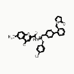 Cc1ccc2oc(C(=O)N[C@@H](C=C3CCC(c4ccccc4CN4CCCC4=O)CC3)Cc3ccc(Cl)cc3)cc(=O)c2c1